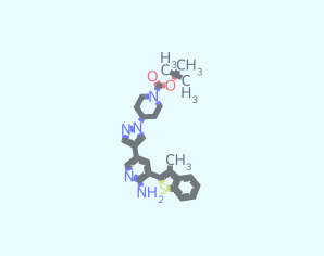 Cc1c(-c2cc(-c3cnn(C4CCN(C(=O)OC(C)(C)C)CC4)c3)cnc2N)sc2ccccc12